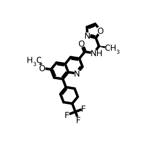 COc1cc(C2=CCC(C(F)(F)F)CC2)c2ncc(C(=O)N[C@H](C)c3ncco3)cc2c1